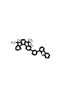 CC1(C)c2ccccc2-c2c1ccc1c2-c2ccc(-c3cccc(-c4cccc5c4sc4ccccc45)c3)cc2C1(C)C